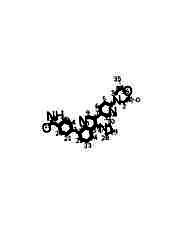 C[C@@H]1CN(c2ccc(-c3cnc4c(-c5ccc(C(N)=O)cc5)cccc4c3N3CCC3)cn2)C[C@H](C)O1